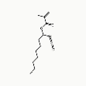 C=C(C)C(=O)OC(CCCCCCC)N=C=O